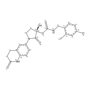 O=C1CCc2cc(N3CC[C@](O)(OC(=O)NCc4ccc(Cl)cc4F)C3=O)ccc2N1